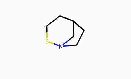 [CH]1CC2CCN(C2)S1